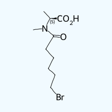 C[C@@H](C(=O)O)N(C)C(=O)CCCCCBr